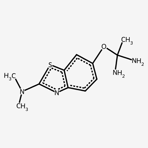 CN(C)c1nc2ccc(OC(C)(N)N)cc2s1